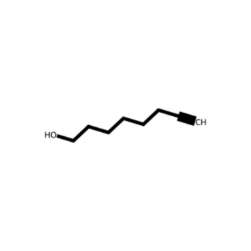 C#CCCCCCCO